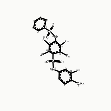 COc1ccc(NS(=O)(=O)c2c(F)c(F)c(NS(=O)(=O)c3ccccc3)c(F)c2F)cc1F